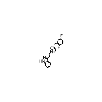 Fc1ccc(F)c(CC2=CCN(CCc3n[nH]c4ccccc34)O2)c1